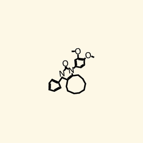 COc1ccc(-n2c3c(c(-c4ccccc4)nc2=O)CCCCCCCC3)cc1OC